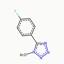 CC(=O)On1nnnc1-c1ccc(F)cc1